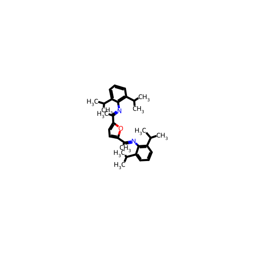 CC(=Nc1c(C(C)C)cccc1C(C)C)c1ccc(C(C)=Nc2c(C(C)C)cccc2C(C)C)o1